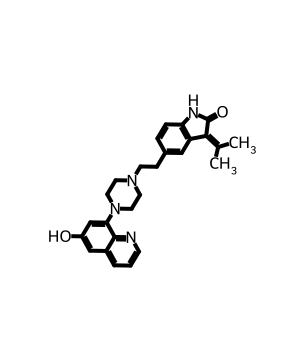 CC(C)=C1C(=O)Nc2ccc(CCN3CCN(c4cc(O)cc5cccnc45)CC3)cc21